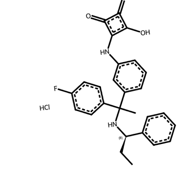 CC[C@@H](NC(C)(c1ccc(F)cc1)c1cccc(Nc2c(O)c(=O)c2=O)c1)c1ccccc1.Cl